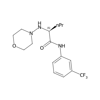 CCC[C@H](NN1CCOCC1)C(=O)Nc1cccc(C(F)(F)F)c1